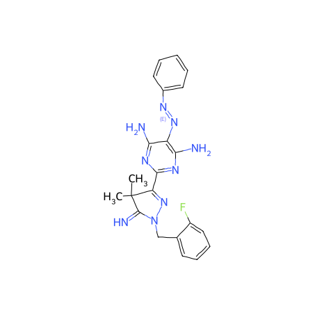 CC1(C)C(=N)N(Cc2ccccc2F)N=C1c1nc(N)c(/N=N/c2ccccc2)c(N)n1